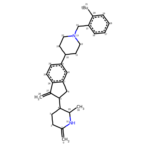 C=C1CCC(C2Cc3cc(C4CCN(Cc5ccccc5C(C)(C)C)CC4)ccc3C2=C)C(C)N1